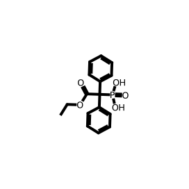 CCOC(=O)C(c1ccccc1)(c1ccccc1)P(=O)(O)O